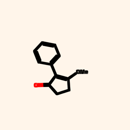 COC1=C(c2ccccc2)C(=O)CC1